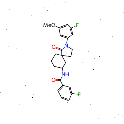 COc1cc(F)cc(N2CCC3(CCCC(NC(=O)c4cccc(F)c4)C3)C2=O)c1